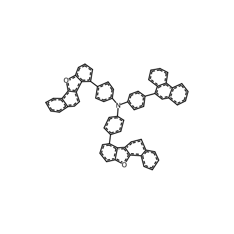 c1ccc2c(c1)cc(-c1ccc(N(c3ccc(-c4cccc5oc6c7ccccc7ccc6c45)cc3)c3ccc(-c4cccc5oc6c7ccccc7ccc6c45)cc3)cc1)c1ccccc12